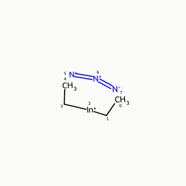 C[CH2][In+][CH2]C.[N-]=[N+]=[N-]